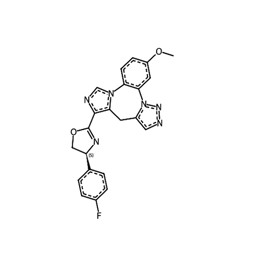 COc1ccc2c(c1)-n1nncc1Cc1c(C3=N[C@@H](c4ccc(F)cc4)CO3)ncn1-2